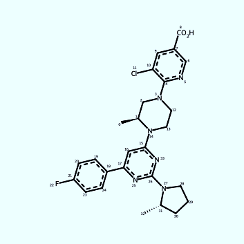 C[C@H]1CN(c2ncc(C(=O)O)cc2Cl)CCN1c1cc(-c2ccc(F)cc2)nc(N2CCC[C@@H]2C)n1